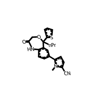 CCCC1(c2cccs2)OCC(=O)Nc2ccc(-c3ccc(C#N)n3C)cc21